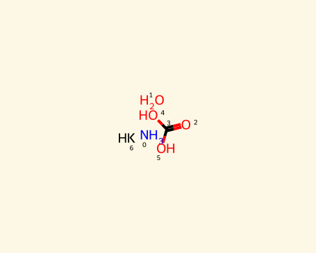 N.O.O=C(O)O.[KH]